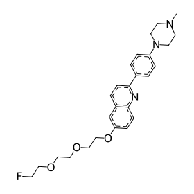 CN1CCN(c2ccc(-c3ccc4cc(OCCOCCOCCF)ccc4n3)cc2)CC1